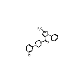 O=C(c1cc(C(F)(F)F)nn1-c1ccccc1)N1CCN(c2cccc(Cl)c2)CC1